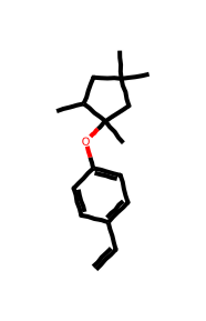 C=Cc1ccc(OC2(C)CC(C)(C)CC2C)cc1